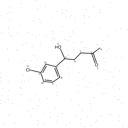 CC(=O)CCC(O)c1cccc(Cl)c1